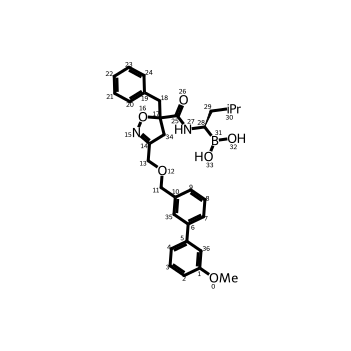 COc1cccc(-c2cccc(COCC3=NOC(Cc4ccccc4)(C(=O)N[C@@H](CC(C)C)B(O)O)C3)c2)c1